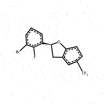 Fc1c(Br)cccc1[C@@H]1Cc2cc(C(F)(F)F)ccc2O1